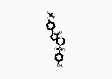 Cc1ccc(S(=O)(=O)N2CCOC3(CCN(c4ccc(OC(F)(F)F)cc4)C3=O)C2)cc1